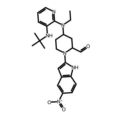 CCN(c1ncccc1NC(C)(C)C)C1CCN(c2cc3cc([N+](=O)[O-])ccc3[nH]2)C(C=O)C1